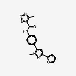 Cc1nnsc1C(=O)Nc1ccc(-c2cc(-c3ccco3)nn2C)cc1